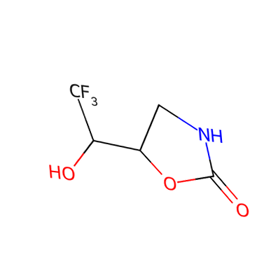 O=C1NCC(C(O)C(F)(F)F)O1